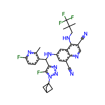 Cc1nc(F)ccc1C(Nc1cc(C#N)c2ncc(C#N)c(NCC(C)(C)C(F)(F)F)c2c1)c1nnn(C23CC(C2)C3)c1F